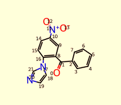 O=C(c1ccccc1)c1cc([N+](=O)[O-])ccc1-n1ccnc1